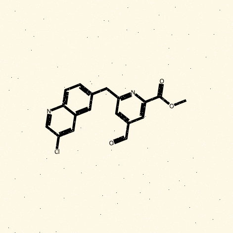 COC(=O)c1cc(C=O)cc(Cc2ccc3ncc(Cl)cc3c2)n1